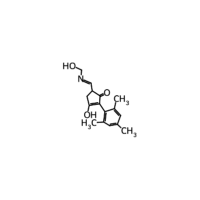 Cc1cc(C)c(C2=C(O)CC(/C=N/CO)C2=O)c(C)c1